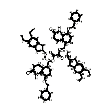 CCc1cc2c(cc1CC)CC(NC[C@H](OC(=O)C(=O)O[C@@H](CNC1Cc3cc(CC)c(CC)cc3C1)c1ccc(OCc3ccccc3)c3[nH]c(=O)ccc13)c1ccc(OCc3ccccc3)c3[nH]c(=O)ccc13)C2